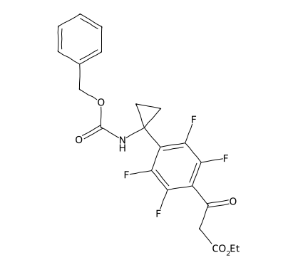 CCOC(=O)CC(=O)c1c(F)c(F)c(C2(NC(=O)OCc3ccccc3)CC2)c(F)c1F